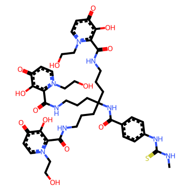 CNC(=S)Nc1ccc(C(=O)NC(CCCNC(=O)c2c(O)c(=O)ccn2CCO)(CCCNC(=O)c2c(O)c(=O)ccn2CCO)CCCNC(=O)c2c(O)c(=O)ccn2CCO)cc1